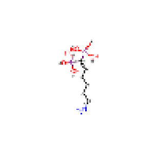 NCCCCC=C(P(=O)(O)O)P(=O)(O)O